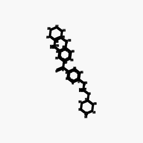 C=C(c1ccc(SNCC2CCOCC2)cc1)c1ccc2c(c1)NC1=C(CCCC1)S2